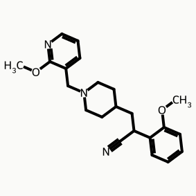 COc1ccccc1C(C#N)CC1CCN(Cc2cccnc2OC)CC1